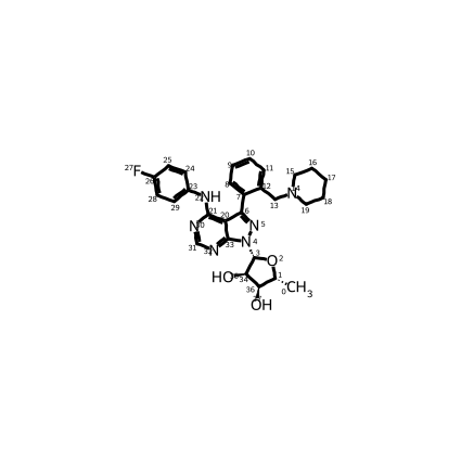 C[C@H]1O[C@@H](n2nc(-c3ccccc3CN3CCCCC3)c3c(Nc4ccc(F)cc4)ncnc32)[C@H](O)[C@@H]1O